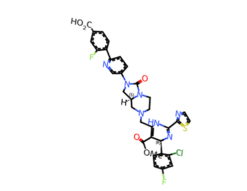 COC(=O)C1=C(CN2CCN3C(=O)N(c4ccc(-c5ccc(C(=O)O)cc5F)nc4)C[C@@H]3C2)NC(c2nccs2)=N[C@H]1c1ccc(F)cc1Cl